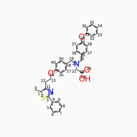 Cc1sc(-c2ccccc2)nc1CCOc1ccc(CN(CC(=O)O)Cc2ccc(Oc3ccccc3)cc2)cc1